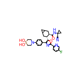 N#CC1(NC(=O)[C@@H]2CC3CC3C[C@H]2c2oc(-c3ccc(F)cn3)nc2-c2ccc(N3CCS(O)(O)CC3)cc2)CC1